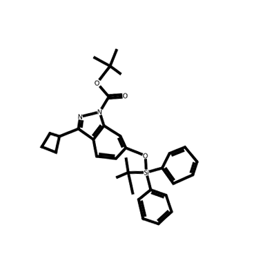 CC(C)(C)OC(=O)n1nc(C2CCC2)c2ccc(O[Si](c3ccccc3)(c3ccccc3)C(C)(C)C)cc21